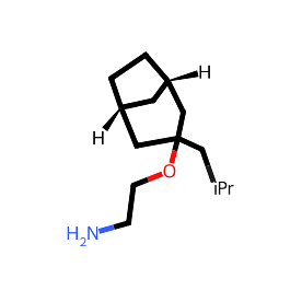 CC(C)CC1(OCCN)C[C@@H]2CC[C@@H](C2)C1